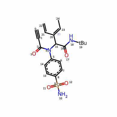 C#CC(=O)N(c1ccc(S(N)(=O)=O)cc1)C(C(=O)NC(C)(C)C)/C(C=C)=C/C